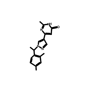 Cc1ccc(C(C)n2cc(-c3cc(=O)[nH]c(C)n3)cn2)c(C)c1